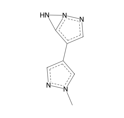 Cn1cc(-c2cnn3c2N3)cn1